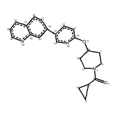 O=C(C1CC1)N1CCC(Oc2ccc(-c3ccc4cccnc4c3)cn2)CC1